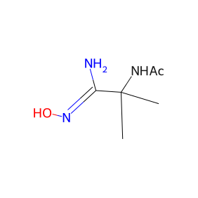 CC(=O)NC(C)(C)/C(N)=N/O